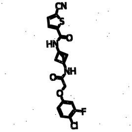 N#Cc1ccc(C(=O)NC23CC(NC(=O)COc4ccc(Cl)c(F)c4)(C2)C3)s1